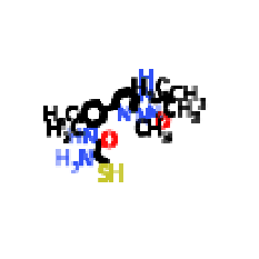 CN(N=O)c1nc(C2CCC(C)(C)C(NC(=O)/C(N)=C/S)C2)ccc1NCC(C)(C)C